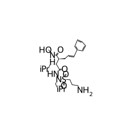 CC(C)C[C@@H](C(=O)NN(CC(C)C)S(=O)(=O)CCCN)[C@H](CC=Cc1ccccc1)C(=O)NO